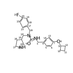 O=C(NCc1ccc(OC2CCC2)cc1)N(Cc1ccc(F)cc1)CC1CCNC1